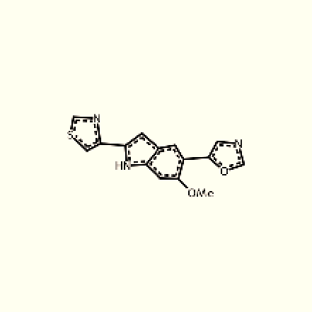 COc1cc2[nH]c(-c3cscn3)cc2cc1-c1cnco1